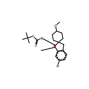 COC1CCC2(CC1)Cc1ccc(Br)cc1C21N=C(C)C(NC(=O)OC(C)(C)C)=N1